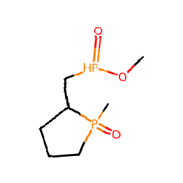 CO[PH](=O)CC1CCCP1(C)=O